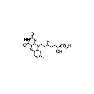 Cc1cc2nc3c(=O)[nH]c(=O)nc-3n(CCNCC[C@H](O)C(=O)O)c2cc1C